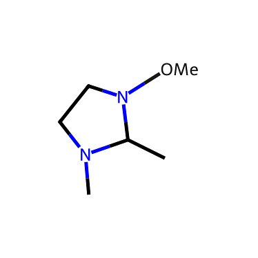 CON1CCN(C)C1C